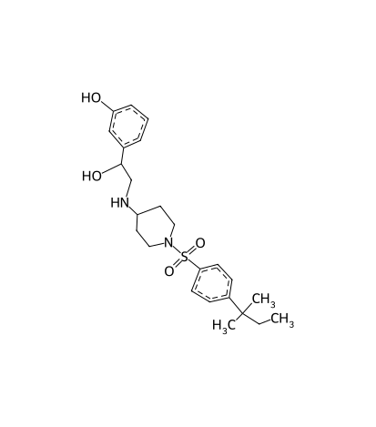 CCC(C)(C)c1ccc(S(=O)(=O)N2CCC(NCC(O)c3cccc(O)c3)CC2)cc1